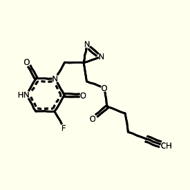 C#CCCC(=O)OCC1(Cn2c(=O)[nH]cc(F)c2=O)N=N1